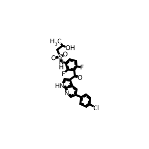 CC(O)CS(=O)(=O)Nc1ccc(F)c(C(=O)c2c[nH]c3ncc(-c4ccc(Cl)cc4)cc23)c1F